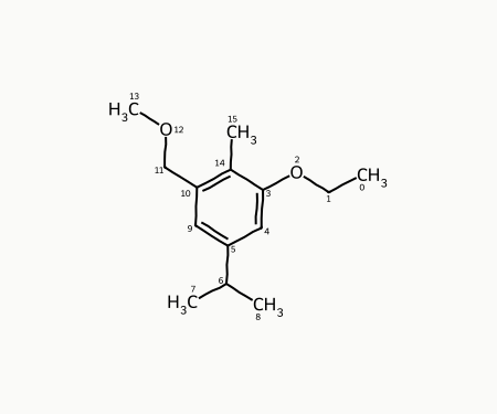 CCOc1cc(C(C)C)cc(COC)c1C